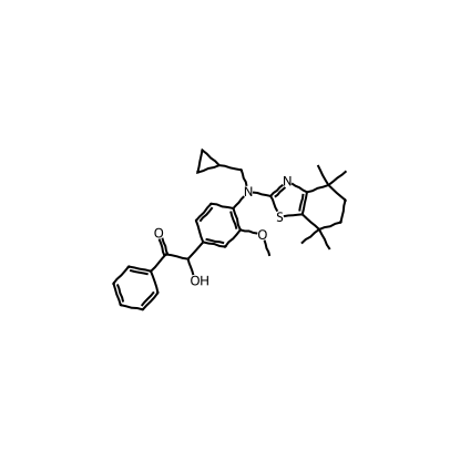 COc1cc(C(O)C(=O)c2ccccc2)ccc1N(CC1CC1)c1nc2c(s1)C(C)(C)CCC2(C)C